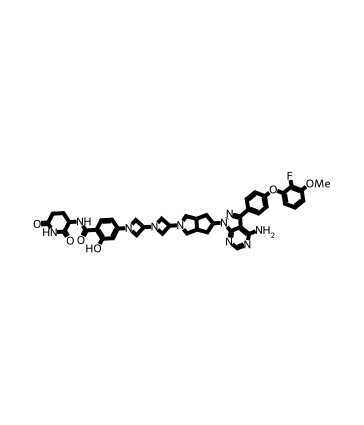 COc1cccc(Oc2ccc(-c3nn(C4CC5CN(C6CN(C7CN(c8ccc(C(=O)NC9CCC(=O)NC9=O)c(O)c8)C7)C6)CC5C4)c4ncnc(N)c34)cc2)c1F